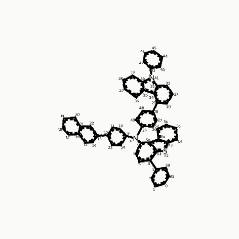 c1ccc(-c2ccc(N(c3ccc(-c4ccc5ccccc5c4)cc3)c3ccc(-c4cccc5c4c4ccccc4n5-c4ccccc4)cc3)c3c2sc2ccccc23)cc1